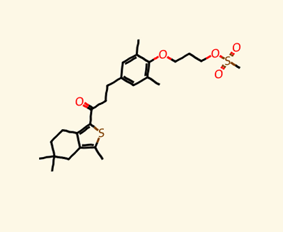 Cc1cc(CCC(=O)c2sc(C)c3c2CCC(C)(C)C3)cc(C)c1OCCCOS(C)(=O)=O